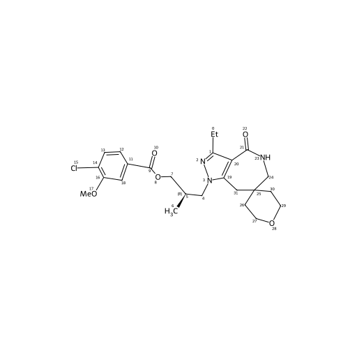 CCc1nn(C[C@@H](C)COC(=O)c2ccc(Cl)c(OC)c2)c2c1C(=O)NCC1(CCOCC1)C2